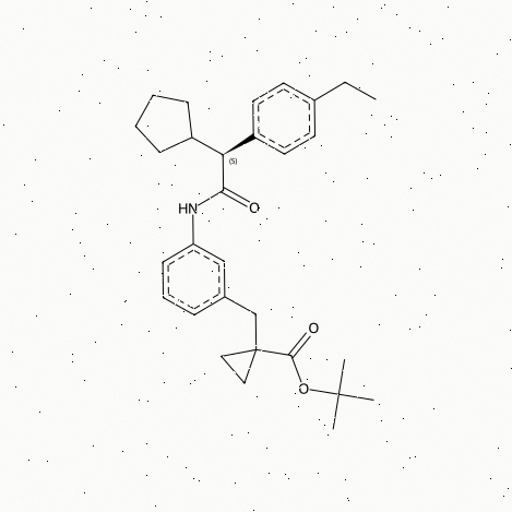 CCc1ccc([C@@H](C(=O)Nc2cccc(CC3(C(=O)OC(C)(C)C)CC3)c2)C2CCCC2)cc1